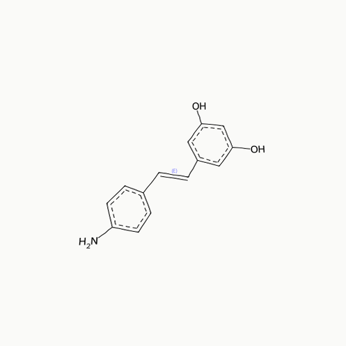 Nc1ccc(/C=C/c2cc(O)cc(O)c2)cc1